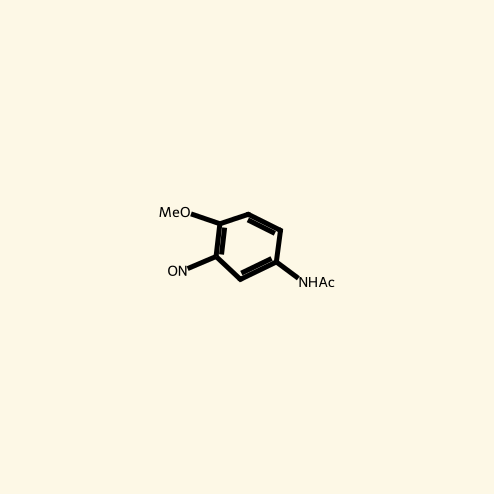 COc1ccc(NC(C)=O)cc1N=O